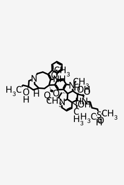 CC[C@]1(O)C[C@H]2CN(CCc3c([nH]c4ccccc34)[C@@](C(=O)OC)(c3cc4c(cc3OC)N(C)[C@H]3[C@@](O)(C(=O)NCCC[SH](C)(C)=O)[C@H](O)[C@]5(CC)C=CCN6CC[C@]43C65)C2)C1